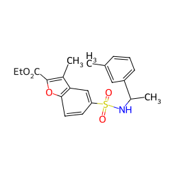 CCOC(=O)c1oc2ccc(S(=O)(=O)NC(C)c3cccc(C)c3)cc2c1C